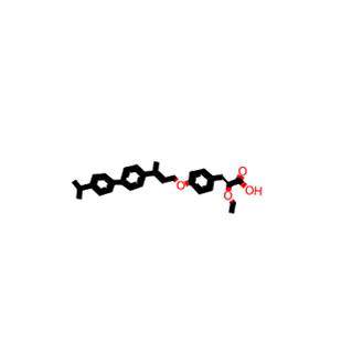 CCO[C@@H](Cc1ccc(OC/C=C(\C)c2ccc(-c3ccc(C(C)C)cc3)cc2)cc1)C(=O)O